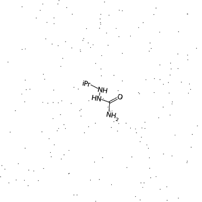 CC(C)NNC(N)=O